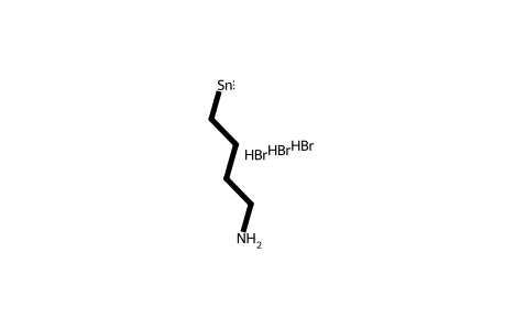 Br.Br.Br.NCCC[CH2][Sn]